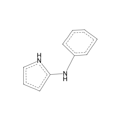 c1ccc(Nc2ccc[nH]2)cc1